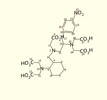 O=C(O)CN(CC1CCCCC1N(CC(=O)O)CC(=O)O)CC(Cc1ccc([N+](=O)[O-])cc1)N(CC(=O)O)CC(=O)O